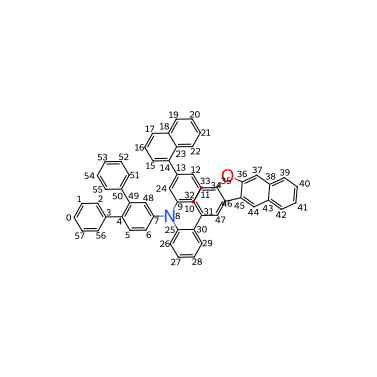 c1ccc(-c2ccc(N(c3cccc(-c4cccc5ccccc45)c3)c3ccccc3-c3ccc4oc5cc6ccccc6cc5c4c3)cc2-c2ccccc2)cc1